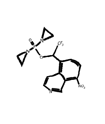 O=[N+]([O-])c1ccc(C(OP(=O)(N2CC2)N2CC2)C(F)(F)F)c2ccncc12